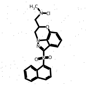 CN(Cl)CC1Cn2nc(S(=O)(=O)c3cccc4ccccc34)c3cccc(c32)O1